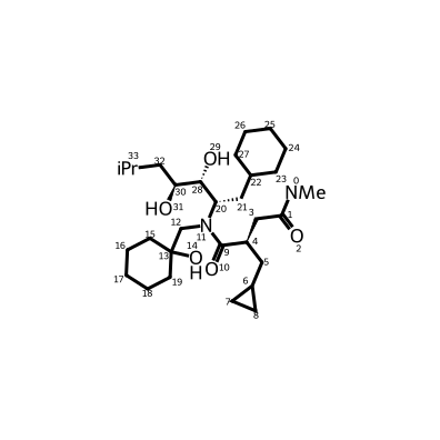 CNC(=O)C[C@@H](CC1CC1)C(=O)N(CC1(O)CCCCC1)[C@@H](CC1CCCCC1)[C@@H](O)[C@@H](O)CC(C)C